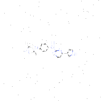 CN1C[C@@H]2C[C@H]1CN2c1ccc(Nc2nccc(-c3cc[nH]c3)n2)cc1